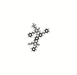 CC(C)(C)OC(=O)N[C@@H](Cc1cc(-c2ccc(OCc3ccccc3)c(C[C@H](NC(=O)OCc3ccccc3)C(=O)OCC[Si](C)(C)C)c2)ccc1F)C(=O)OCc1ccccc1